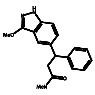 CNC(=O)CC(c1ccccc1)c1ccc2[nH]nc(OC)c2c1